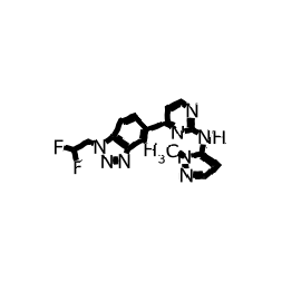 Cn1nccc1Nc1nccc(-c2ccc3c(c2)nnn3CC(F)F)n1